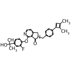 CC1=C(C)C(c2ccc(CN3Cc4ccnc(Oc5ccc(C(C)(C)O)cc5F)c4C3=O)cc2)=C1